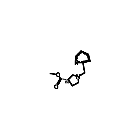 COC(=O)[C@H]1CCN(Cc2ccccn2)C1